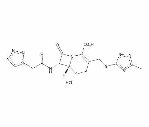 Cc1nnc(SCC2=C(C(=O)O)N3C(=O)[C@@H](NC(=O)Cn4cnnn4)[C@H]3SC2)s1.Cl